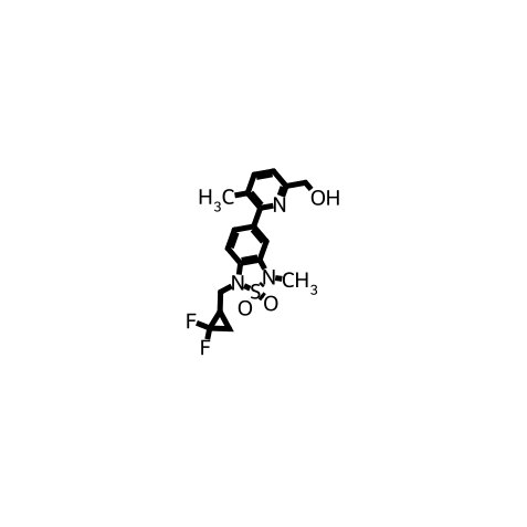 Cc1ccc(CO)nc1-c1ccc2c(c1)N(C)S(=O)(=O)N2CC1CC1(F)F